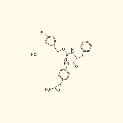 Cl.NC1CC1c1ccc(NC(=O)C(Cc2ccccc2)NC(=O)OCc2ccc(Br)cc2)cc1